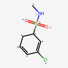 CNS(=O)(=O)C1C=C(Cl)C=CC1